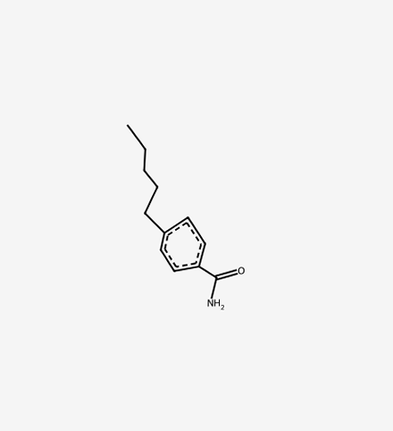 CCCCCc1ccc(C(N)=O)cc1